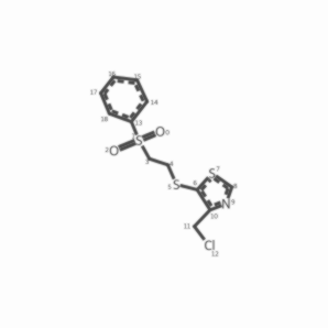 O=S(=O)(CCSc1scnc1CCl)c1ccccc1